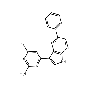 CCc1cc(-c2c[nH]c3ncc(-c4ccccc4)cc23)nc(N)n1